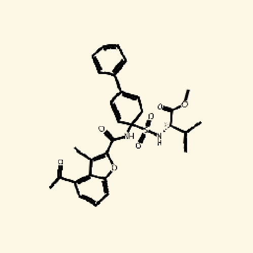 COC(=O)[C@@H](NS(=O)(=O)C1(NC(=O)c2oc3cccc(C(C)=O)c3c2C)C=CC(c2ccccc2)=CC1)C(C)C